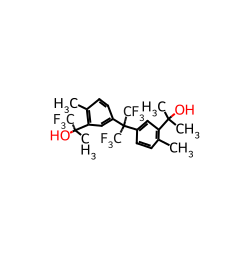 Cc1ccc(C(c2ccc(C)c(C(C)(O)C(F)(F)F)c2)(C(F)(F)F)C(F)(F)F)cc1C(C)(C)O